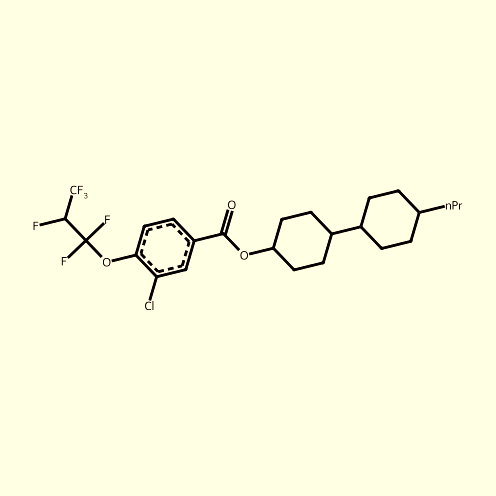 CCCC1CCC(C2CCC(OC(=O)c3ccc(OC(F)(F)C(F)C(F)(F)F)c(Cl)c3)CC2)CC1